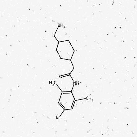 BCC1CCC(CC(=O)Nc2c(C)cc(Br)cc2C)CC1